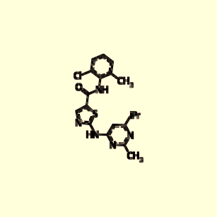 Cc1nc(Nc2ncc(C(=O)Nc3c(C)cccc3Cl)s2)cc(C(C)C)n1